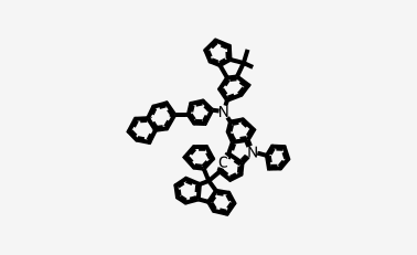 CC1(C)c2ccccc2-c2cc(N(c3ccc(-c4ccc5ccccc5c4)cc3)c3ccc4c(c3)c3cc(C5(c6ccccc6)c6ccccc6-c6ccccc65)ccc3n4-c3ccccc3)ccc21